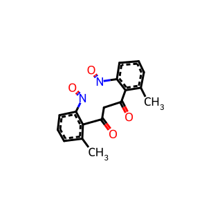 Cc1cccc(N=O)c1C(=O)CC(=O)c1c(C)cccc1N=O